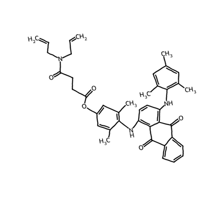 C=CCN(CC=C)C(=O)CCC(=O)Oc1cc(C)c(Nc2ccc(Nc3c(C)cc(C)cc3C)c3c2C(=O)c2ccccc2C3=O)c(C)c1